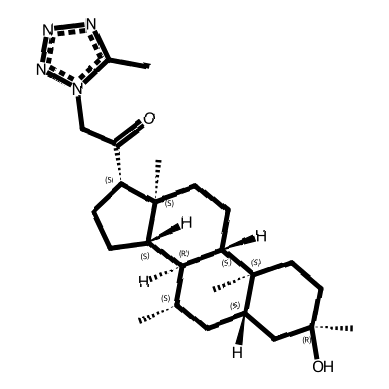 Cc1nnnn1CC(=O)[C@H]1CC[C@H]2[C@@H]3[C@@H](C)C[C@H]4C[C@](C)(O)CC[C@]4(C)[C@H]3CC[C@]12C